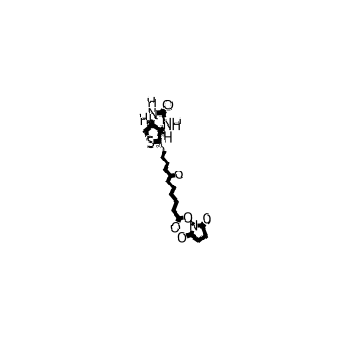 O=C(CCCCCC(=O)ON1C(=O)CCC1=O)CCCC[C@@H]1SC[C@@H]2NC(=O)N[C@@H]21